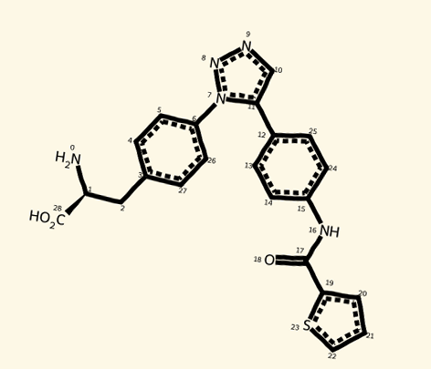 N[C@@H](Cc1ccc(-n2nncc2-c2ccc(NC(=O)c3cccs3)cc2)cc1)C(=O)O